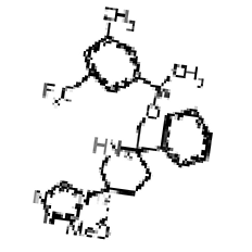 COC[C@@]1(n2cnnc2)CC[C@@](CO[C@H](C)c2cc(C)cc(C(F)(F)F)c2)(c2ccccc2)NC1